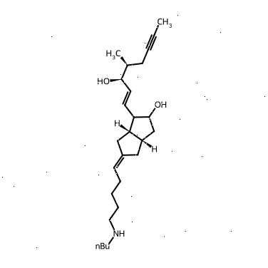 CC#CC[C@H](C)[C@H](O)/C=C/C1C(O)C[C@@H]2C/C(=C\CCCCNCCCC)C[C@H]12